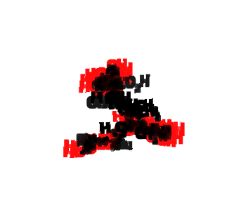 CC[C@H](C)[C@H](C[C@H](O)CC(=O)O[C@@H]1[C@H](O)[C@@H](O[C@@H]2O[C@@H](C)[C@H](O[C@@H]3OC[C@@H](O)[C@H](O[C@@H]4OC[C@@H](O)[C@H](O)[C@H]4O)[C@H]3O)[C@@H](O)[C@H]2O)[C@H](OC(=O)[C@]23CCC(C)(C)C[C@H]2C2=CC[C@@H]4[C@@]5(C)CC[C@H](O[C@@H]6O[C@H](C(=O)O)[C@@H](O)[C@H](O[C@@H]7OC[C@@H](O)[C@H](O)[C@H]7O)[C@H]6O[C@@H]6O[C@H](CO)[C@H](O)[C@H](O)[C@H]6O)[C@@](C)(C=O)[C@@H]5CC[C@@]4(C)C2C[C@H]3O)O[C@@H]1C)OC(=O)C[C@@H](O)C[C@H](O[C@@H]1O[C@@H](CO)[C@H](O)[C@H]1O)[C@@H](C)CC